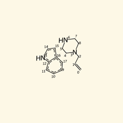 C=CCN1CCNCC1.c1ccc2[nH]ccc2c1